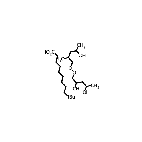 CC(C)(C)CCCCCCCCC(=O)O.CC(O)CC(C)COOCC(C)CC(C)O